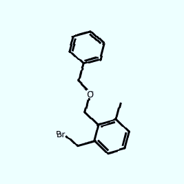 Cc1cccc(CBr)c1COCc1ccccc1